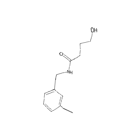 Cc1cccc(CNC(=O)CCCO)c1